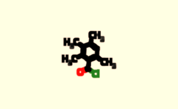 Cc1cc(C)c(C(=O)Cl)c(C)c1C